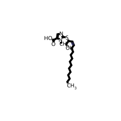 CCCCCCCCCCCC/C=C\C(CO)Sc1ncc(C(=O)O)n1C